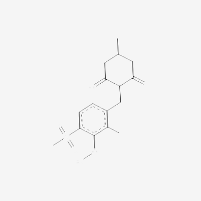 CCOc1c(S(C)(=O)=O)ccc(CC2C(=O)CC(C)CC2=O)c1Cl